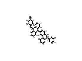 Brc1ccc(/C=C2/c3ccccc3N(c3ccc(C=C(c4ccccc4)c4ccccc4)cc3)C3C=CC=CC23)cc1